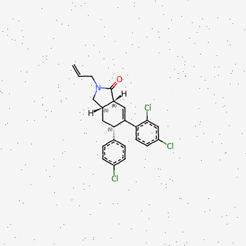 C=CCN1C[C@H]2C[C@@H](c3ccc(Cl)cc3)C(c3ccc(Cl)cc3Cl)=C[C@H]2C1=O